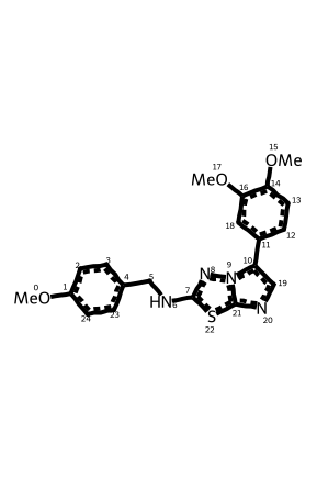 COc1ccc(CNc2nn3c(-c4ccc(OC)c(OC)c4)cnc3s2)cc1